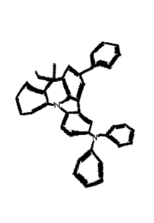 CC1(C)c2ccccc2-n2c3ccc(N(c4ccccc4)c4ccccc4)cc3c3cc(-c4ccccc4)cc1c32